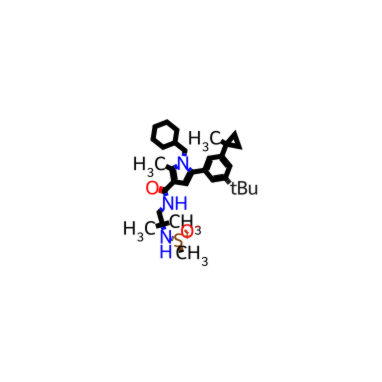 Cc1c(C(=O)NCC(C)(C)N[S+](C)[O-])cc(-c2cc(C(C)(C)C)cc(C3(C)CC3)c2)n1CC1CCCCC1